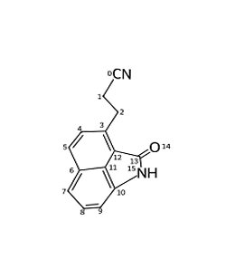 N#CCCc1ccc2cccc3c2c1C(=O)N3